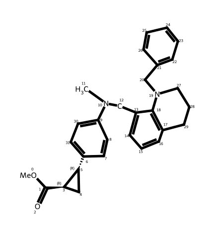 COC(=O)[C@@H]1C[C@H]1c1ccc(N(C)Cc2cccc3c2N(Cc2ccccc2)CCC3)cc1